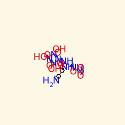 Cc1cc(-c2ccc(NC(=O)[C@H](CCCCNC(=O)CCN3C(=O)C=CC3=O)NC(=O)CN3CCN(CC(=O)O)CCN(CC(=O)O)CCN(CC(=O)O)CC3)c(C)c2)ccc1N